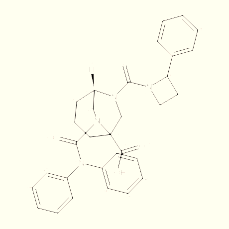 O=C(N1CCC1c1ccccc1)N1CC2(C(=O)O)CCC[C@H]1CN2C(=O)N(c1ccccc1)c1ccccc1